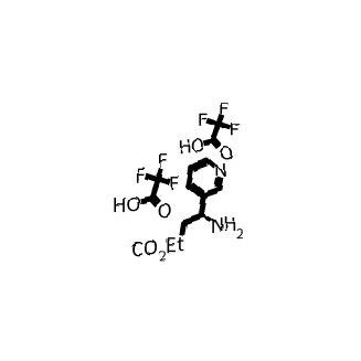 CCOC(=O)C[C@H](N)c1cccnc1.O=C(O)C(F)(F)F.O=C(O)C(F)(F)F